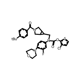 CC(C)(C)c1ccc(C(=O)N2CC3C(C2)C3CN(C(=O)Oc2sccc2Cl)c2ccc(N3CCOCC3)c(F)c2)cc1